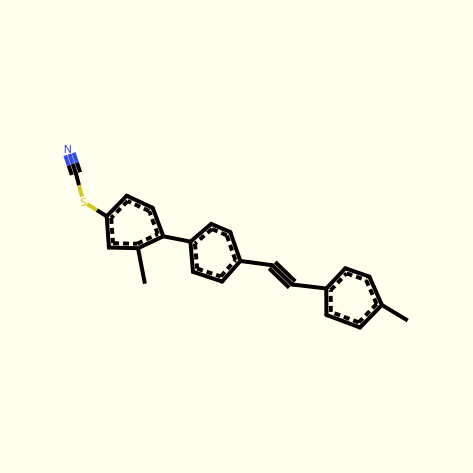 Cc1ccc(C#Cc2ccc(-c3ccc(SC#N)cc3C)cc2)cc1